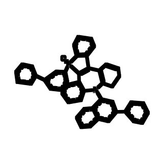 O=P1(c2cccc(-c3ccccc3)c2)C2=C(C3=C(CCC=C3)N(c3cc(-c4ccccc4)cc4ccccc34)c3ccccc32)c2ccccc21